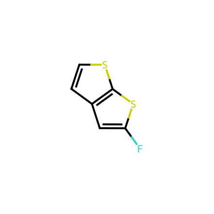 Fc1cc2ccsc2s1